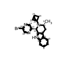 C[C@@H]1Cc2c([nH]c3ccccc23)[C@@H](c2cnc(Br)cn2)N1C12CC(C1)C2